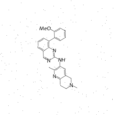 COc1ccccc1-c1cccc2cnc(Nc3cc4c(nc3C)CCN(C)C4)nc12